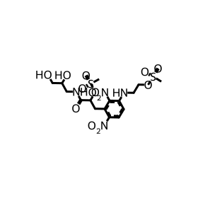 CS(=O)(=O)OCCNc1ccc([N+](=O)[O-])c(CC(OS(C)(=O)=O)C(=O)NCC(O)CO)c1[N+](=O)[O-]